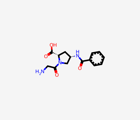 NCC(=O)N1C[C@@H](NC(=O)c2ccccc2)C[C@H]1C(=O)O